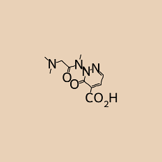 CN(C)CC(=O)N(C)n1nccc(C(=O)O)c1=O